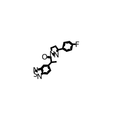 CC(C(=O)N1CCC(c2ccc(F)cc2)=N1)c1ccc2nsnc2c1